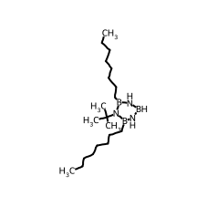 CCCCCCCCB1NBNB(CCCCCCCC)N1C(C)(C)C